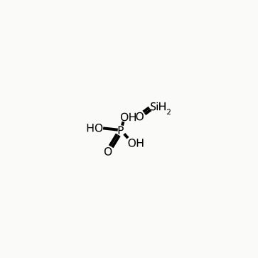 O=P(O)(O)O.O=[SiH2]